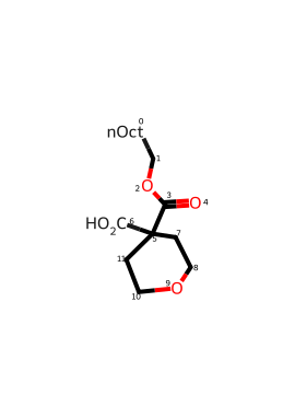 CCCCCCCCCOC(=O)C1(C(=O)O)CCOCC1